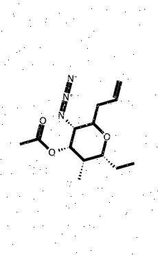 C=CCC1O[C@H](CC)[C@H](C)[C@H](OC(C)=O)[C@@H]1N=[N+]=[N-]